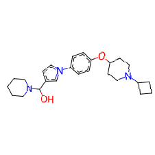 OC(c1ccn(-c2ccc(OC3CCN(C4CCC4)CC3)cc2)c1)N1CCCCC1